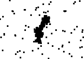 c1ccc(COCCN2CCc3cc(C4CC4)ccc32)cc1